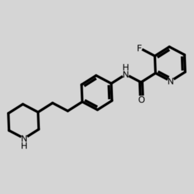 O=C(Nc1ccc(CCC2CCCNC2)cc1)c1ncccc1F